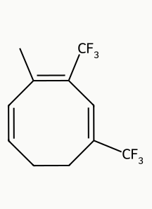 CC1=C(C(F)(F)F)/C=C(/C(F)(F)F)CC/C=C\1